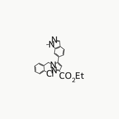 CCOC(=O)c1cc(-c2ccc3cnn(C)c3c2)n(Cc2ccccc2Cl)n1